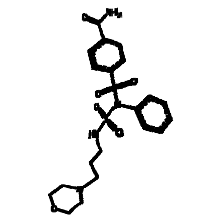 NC(=O)c1ccc(S(=O)(=O)N(c2ccccc2)S(=O)(=O)NCCCN2CCOCC2)cc1